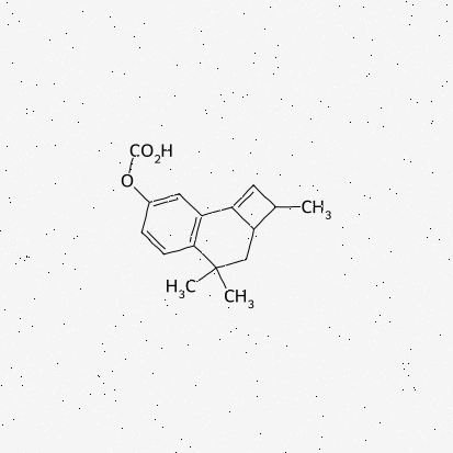 CC1C=C2c3cc(OC(=O)O)ccc3C(C)(C)CC21